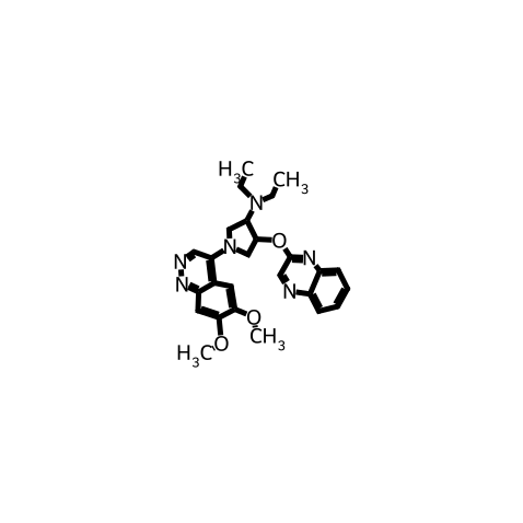 CCN(CC)C1CN(c2cnnc3cc(OC)c(OC)cc23)CC1Oc1cnc2ccccc2n1